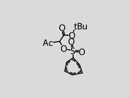 CC(=O)C(OS(=O)(=O)c1ccccc1)C(=O)OC(C)(C)C